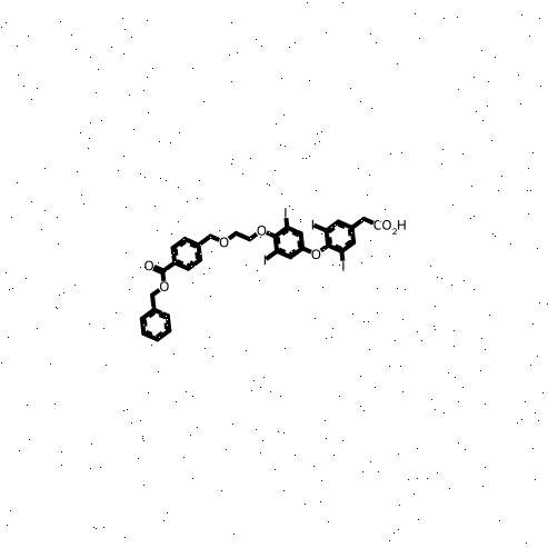 O=C(O)Cc1cc(I)c(Oc2cc(I)c(OCCOCc3ccc(C(=O)OCc4ccccc4)cc3)c(I)c2)c(I)c1